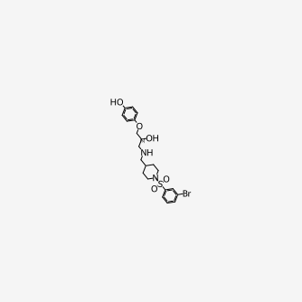 O=S(=O)(c1cccc(Br)c1)N1CCC(CNC[C@H](O)COc2ccc(O)cc2)CC1